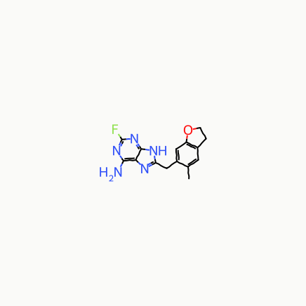 Cc1cc2c(cc1Cc1nc3c(N)nc(F)nc3[nH]1)OCC2